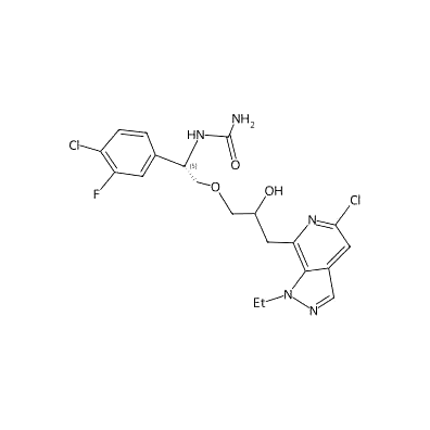 CCn1ncc2cc(Cl)nc(CC(O)COC[C@@H](NC(N)=O)c3ccc(Cl)c(F)c3)c21